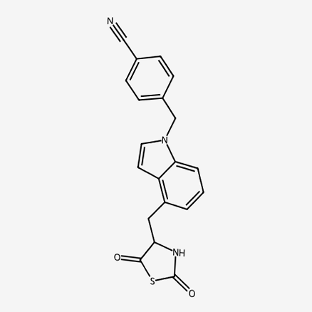 N#Cc1ccc(Cn2ccc3c(CC4NC(=O)SC4=O)cccc32)cc1